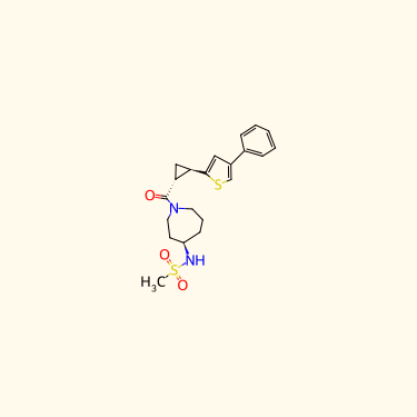 CS(=O)(=O)N[C@@H]1CCCN(C(=O)[C@@H]2C[C@H]2c2cc(-c3ccccc3)cs2)CC1